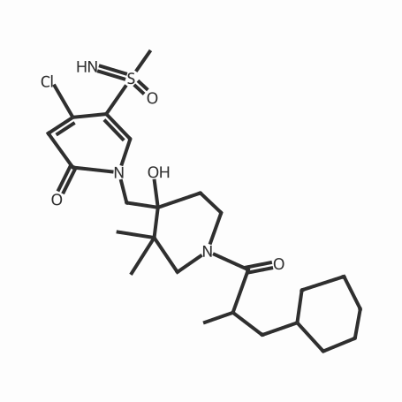 CC(CC1CCCCC1)C(=O)N1CCC(O)(Cn2cc(S(C)(=N)=O)c(Cl)cc2=O)C(C)(C)C1